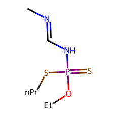 CCCSP(=S)(N/C=N/C)OCC